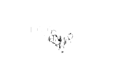 COC(C)(C)C#Cc1nc(C2CC2)n(CCOc2ccc(Cl)cc2)c1C(=O)NCc1ccc(C(=O)O)cc1